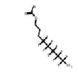 CC(C)C(=O)OCCCC(F)(F)C(F)(F)C(F)(F)C(F)(F)C(F)(F)C(F)(F)F